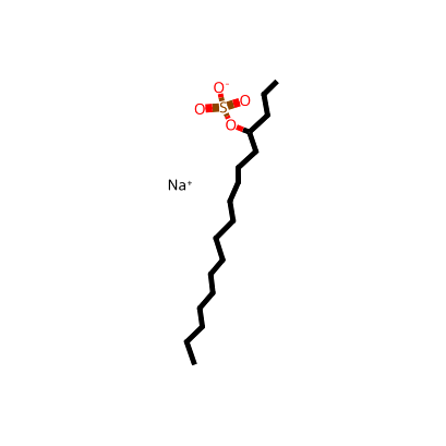 CCCCCCCCCCCCCC(CCC)OS(=O)(=O)[O-].[Na+]